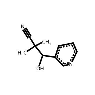 CC(C)(C#N)C(O)c1cccnc1